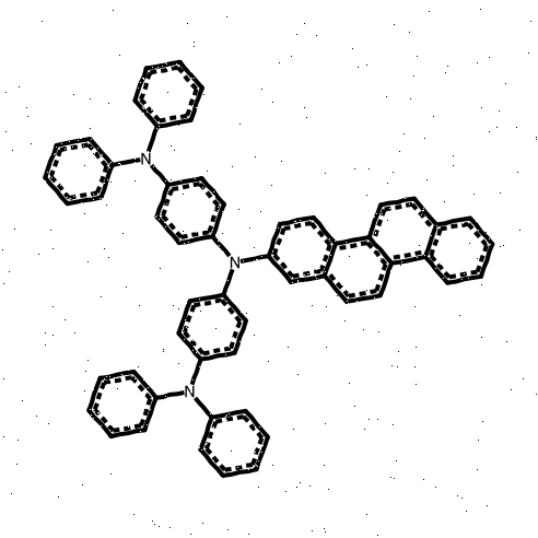 c1ccc(N(c2ccccc2)c2ccc(N(c3ccc(N(c4ccccc4)c4ccccc4)cc3)c3ccc4c(ccc5c6ccccc6ccc45)c3)cc2)cc1